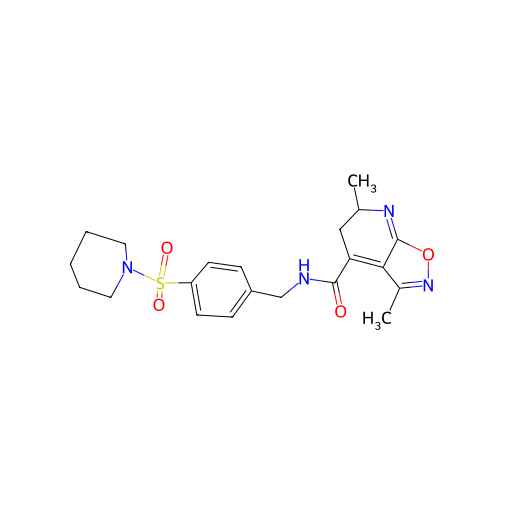 Cc1noc2c1=C(C(=O)NCc1ccc(S(=O)(=O)N3CCCCC3)cc1)CC(C)N=2